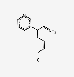 C=CC(C/C=C\CC)c1cccnc1